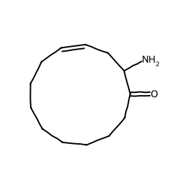 NC1CC=CCCCCCCCCC1=O